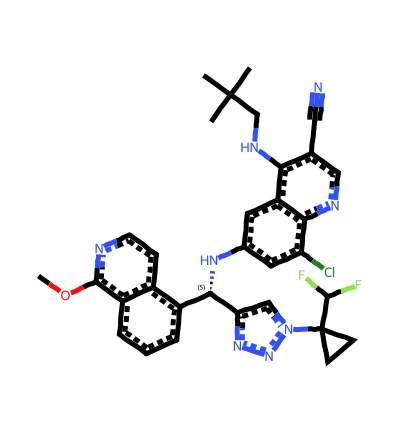 COc1nccc2c([C@H](Nc3cc(Cl)c4ncc(C#N)c(NCC(C)(C)C)c4c3)c3cn(C4(C(F)F)CC4)nn3)cccc12